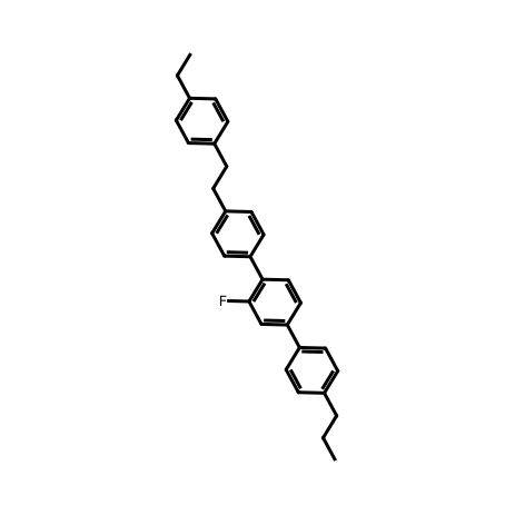 CCCc1ccc(-c2ccc(-c3ccc(CCc4ccc(CC)cc4)cc3)c(F)c2)cc1